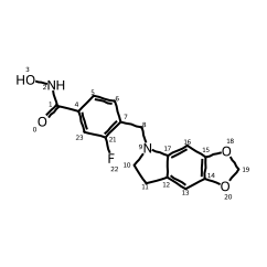 O=C(NO)c1ccc(CN2CCc3cc4c(cc32)OCO4)c(F)c1